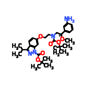 CO[C@@H](CN(CCOc1ccc2c(C(C)C)nn(C(=O)OC(C)(C)C)c2c1)C(=O)OC(C)(C)C)c1cccc(N)c1